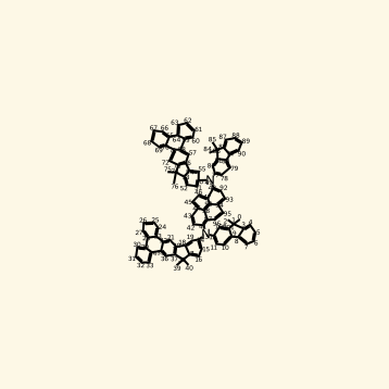 CC1(C)c2ccccc2-c2ccc(N(c3ccc4c(c3)-c3cc5c6ccccc6c6ccccc6c5cc3C4(C)C)c3ccc4ccc5c(N(c6ccc7c(c6)-c6cc8c9ccccc9c9ccccc9c8cc6C7(C)C)c6ccc7c(c6)C(C)(C)c6ccccc6-7)ccc6ccc3c4c65)cc21